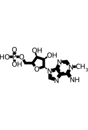 Cn1cnc2c(ncn2[C@@H]2OC(COP(=O)(O)O)[C@@H](O)[C@H]2O)c1=N